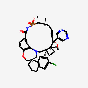 CO[C@@]1(c2cncnc2)/C=C/C[C@H](C)[C@@H](C)S(=O)(=O)NC(=O)c2ccc3c(c2)N(C[C@@H]2CC[C@H]21)C[C@@]1(CCCc2cc(Cl)ccc21)CO3